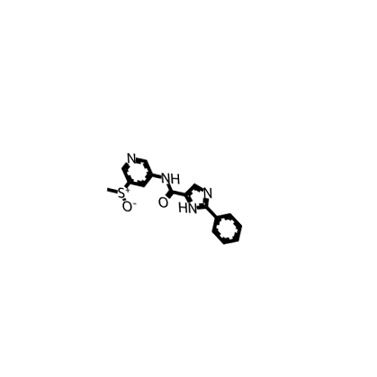 C[S+]([O-])c1cncc(NC(=O)c2cnc(-c3ccccc3)[nH]2)c1